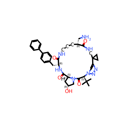 CC(C)(C)[C@H]1C(=O)N2C[C@H](O)C[C@H]2C(=O)N[C@H](Cc2ccc(-c3ccccc3)cc2)C(=O)NCCC[C@H](CN)C(=O)NCC2(CC2)c2cn1nn2